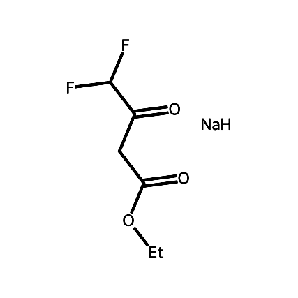 CCOC(=O)CC(=O)C(F)F.[NaH]